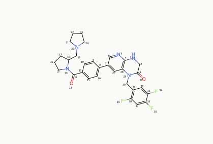 O=C1CNc2ncc(-c3ccc(C(=O)N4CCCC4CN4CCCC4)cc3)cc2N1Cc1cc(F)c(F)cc1F